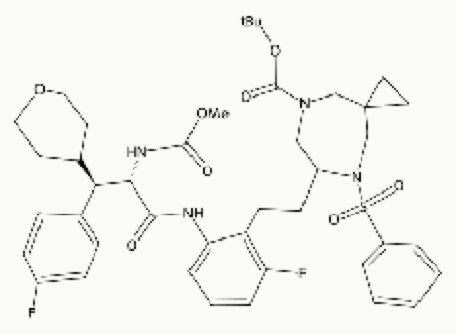 COC(=O)N[C@H](C(=O)Nc1cccc(F)c1CCC1CN(C(=O)OC(C)(C)C)CC2(CC2)CN1S(=O)(=O)c1ccccc1)[C@@H](c1ccc(F)cc1)C1CCOCC1